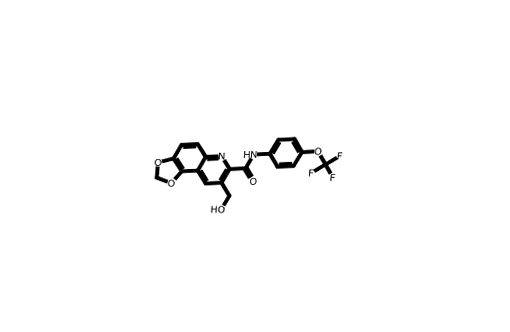 O=C(Nc1ccc(OC(F)(F)F)cc1)c1nc2ccc3c(c2cc1CO)OCO3